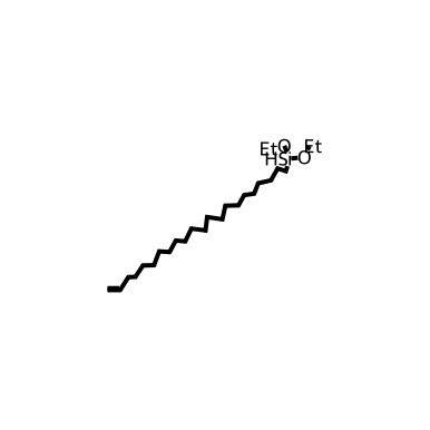 C=CCCCCCCCCCCCCCCCCCCCC[SiH](OCC)OCC